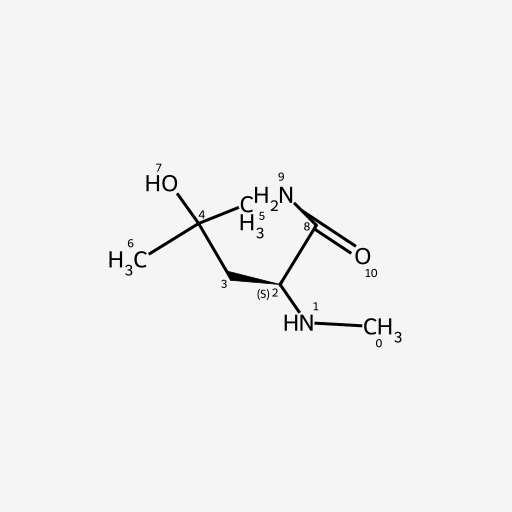 CN[C@@H](CC(C)(C)O)C(N)=O